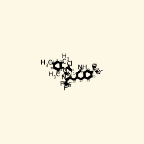 Cc1cc(C)c(-n2c(Cl)cn3c(CC(CCN)Cc4ccc([N+](=O)[O-])cc4)c(C(F)(F)F)nc23)c(C)c1